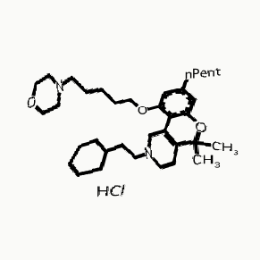 CCCCCc1cc(OCCCCCN2CCOCC2)c2c(c1)OC(C)(C)C1=C2CN(CCC2CCCCC2)CC1.Cl